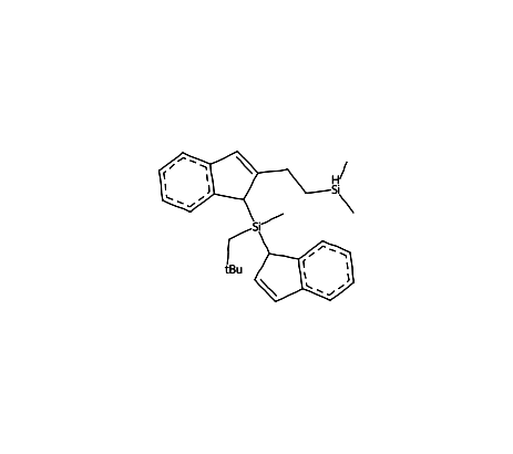 C[SiH](C)CCC1=Cc2ccccc2C1[Si](C)(CC(C)(C)C)C1C=Cc2ccccc21